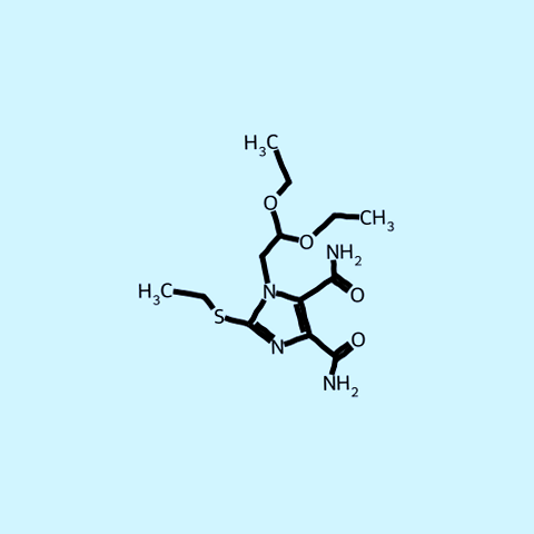 CCOC(Cn1c(SCC)nc(C(N)=O)c1C(N)=O)OCC